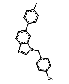 Cc1ccc(-c2ccc3c(c2)[SH](Cc2ccc(C(F)(F)F)cc2)C=N3)cc1